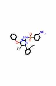 CC(C)c1ccccc1-c1nc(NS(=O)(=O)c2cccc(N)c2)nc(Oc2ccccc2)c1C(C)C